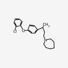 CC(CCN1CCCCCC1)c1ccc(Oc2ccccc2Cl)cc1